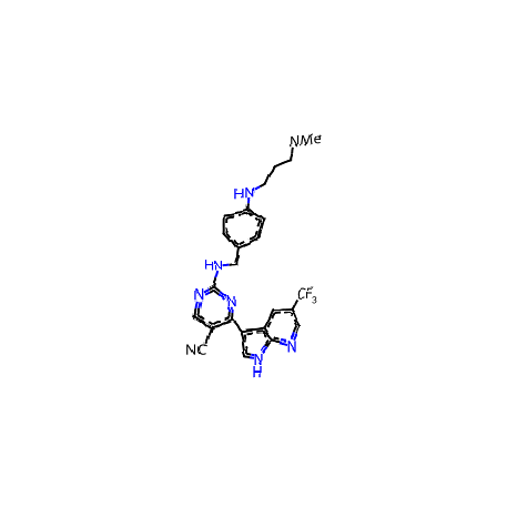 CNCCCNc1ccc(CNc2ncc(C#N)c(-c3c[nH]c4ncc(C(F)(F)F)cc34)n2)cc1